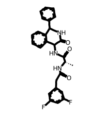 C[C@H](NC(=O)Cc1cc(F)cc(F)c1)C(=O)NC1C(=O)NC(c2ccccc2)c2ccccc21